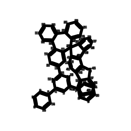 c1ccc(-c2cc(-c3ccccc3)nc(-c3ccc4c(c3)C3(c5ccccc5-c5ccccc5-4)c4ccccc4-c4c3ccc3c4sc4ccccc43)n2)cc1